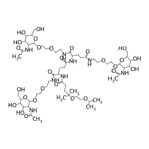 CC(=O)NC1C(OCCOCCNC(=O)CCC(NC(=O)CCC(NC(=O)CCC(C)(C)OCCOC(C)C)C(=O)NCCOCCOC2OC(CO)C(O)C(O)C2NC(C)=O)C(=O)NCCOCCOC2OC(CO)C(O)C(O)C2NC(C)=O)OC(CO)C(O)C1O